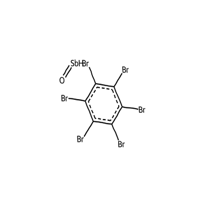 Brc1c(Br)c(Br)c(Br)c(Br)c1Br.[O]=[SbH]